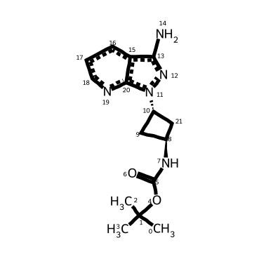 CC(C)(C)OC(=O)N[C@H]1C[C@H](n2nc(N)c3cccnc32)C1